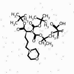 CC(C)(C)OC(=O)[C@H](CCCN1CCOCC1)N(C(=O)OC(C)(C)C)C(=O)OC(C)(C)C.O=C(O)C(F)(F)F